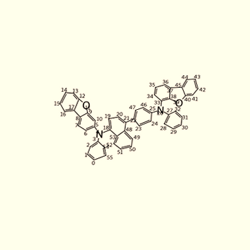 c1ccc(N(c2ccc3c(c2)oc2ccccc23)c2ccc(-c3ccc(N(c4ccccc4)c4cccc5c4oc4ccccc45)cc3)c3ccccc23)cc1